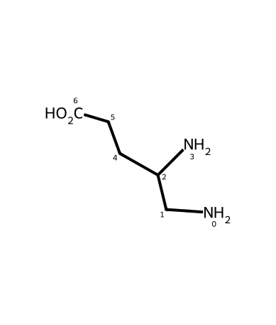 NCC(N)CCC(=O)O